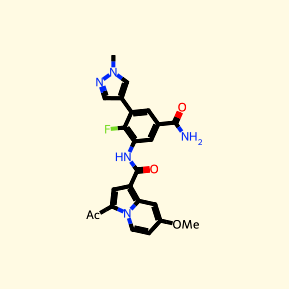 COc1ccn2c(C(C)=O)cc(C(=O)Nc3cc(C(N)=O)cc(-c4cnn(C)c4)c3F)c2c1